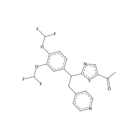 CC(=O)c1cnc(C(Cc2ccncc2)c2ccc(OC(F)F)c(OC(F)F)c2)s1